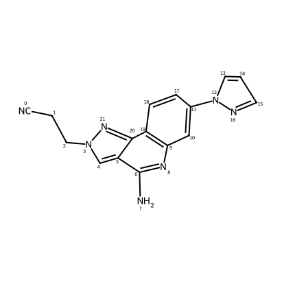 N#CCCn1cc2c(N)nc3cc(-n4cccn4)ccc3c2n1